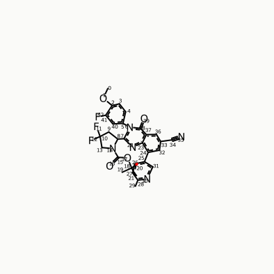 COc1ccc(-n2c(C3CC(F)(F)CN3C(=O)OC(C)(C)C)nc3c(-c4ccc(C)nc4)cc(C#N)cc3c2=O)cc1F